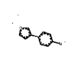 Brc1ccc(-c2ccoc2)cc1